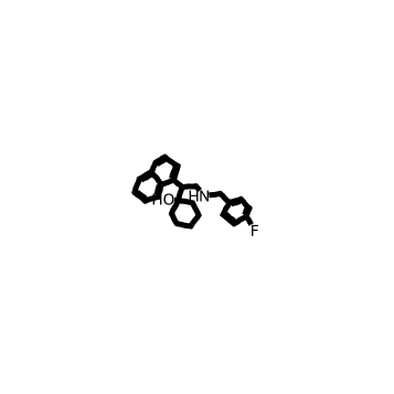 OC1(C(CNCc2ccc(F)cc2)c2cccc3ccccc23)CCCCC1